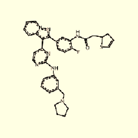 O=C(CC1CC=CS1)Nc1cc(-c2nn3ccccc3c2-c2ccnc(Nc3cccc(CN4CCCC4)c3)n2)ccc1F